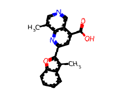 Cc1c(-c2cc(C(=O)O)c3cncc(C)c3n2)oc2ccccc12